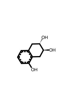 Oc1cccc2c1C[C@H](O)[C@@H](O)C2